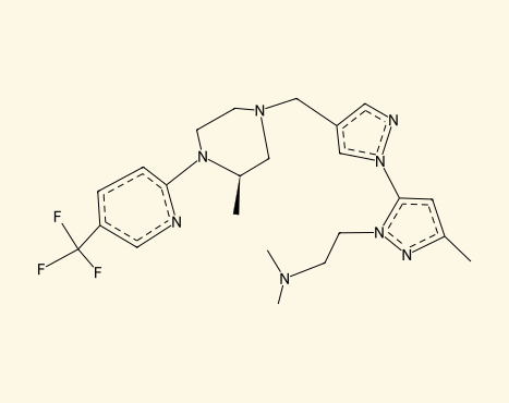 Cc1cc(-n2cc(CN3CCN(c4ccc(C(F)(F)F)cn4)[C@H](C)C3)cn2)n(CCN(C)C)n1